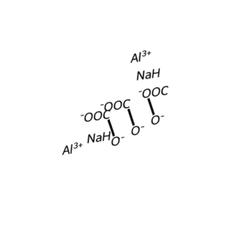 O=C([O-])[O-].O=C([O-])[O-].O=C([O-])[O-].[Al+3].[Al+3].[NaH].[NaH]